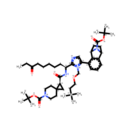 CCC(=O)CCCCC[C@H](NC(=O)[C@H]1CC12CCN(C(=O)OC(C)(C)C)CC2)c1ncc(-c2cccc3c2C2CCC3N2C(=O)OC(C)(C)C)n1COCC[Si](C)(C)C